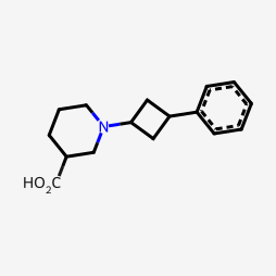 O=C(O)C1CCCN(C2CC(c3ccccc3)C2)C1